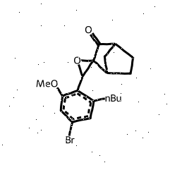 CCCCc1cc(Br)cc(OC)c1C1OC12C(=O)C1CCC2C1